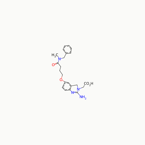 CN(Cc1ccccc1)C(=O)CCCOc1ccc2c(c1)CN(CC(=O)O)C(N)=N2